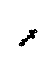 [c]1c(-c2ccc3c(c2)c2cccc4c5c6ccccc6c6cccc(c65)c3c24)ccc2c1ccc1c3ccccc3ccc21